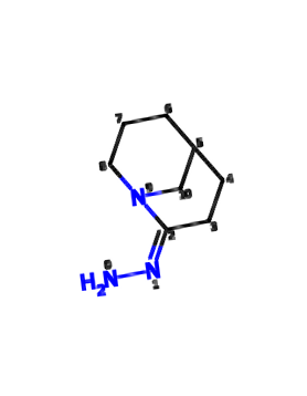 NN=C1CCC2CCCN1C2